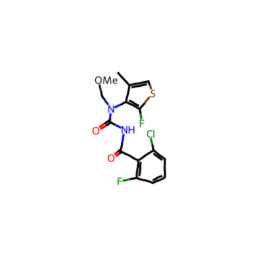 COCN(C(=O)NC(=O)c1c(F)cccc1Cl)c1c(C)csc1F